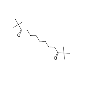 CC(C)(C)C(=O)CCCCCCCC(=O)C(C)(C)C